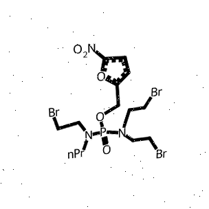 CCCN(CCBr)P(=O)(OCc1ccc([N+](=O)[O-])o1)N(CCBr)CCBr